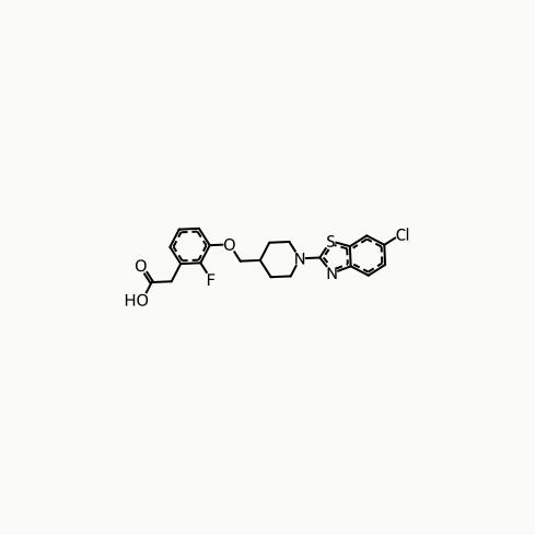 O=C(O)Cc1cccc(OCC2CCN(c3nc4ccc(Cl)cc4s3)CC2)c1F